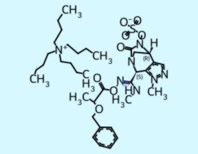 CCCC[N+](CCCC)(CCCC)CCCC.CN/C(=N\OC(=O)C(C)OCc1ccccc1)[C@@H]1c2c(cnn2C)[C@@H]2CN1C(=O)N2OS(=O)(=O)[O-]